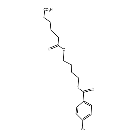 CC(=O)c1ccc(C(=O)OCCCCOC(=O)CCCCC(=O)O)cc1